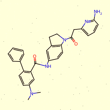 CN(C)c1ccc(-c2ccccc2)c(C(=O)Nc2ccc3c(c2)CCN3C(=O)Cc2cccc(N)n2)c1